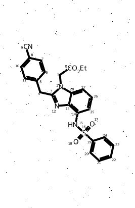 CCOC(=O)Cn1c(Cc2ccc(C#N)cc2)nc2c(NS(=O)(=O)c3ccccc3)cccc21